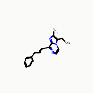 Cc1nc2c(/C=C/Cc3ccccc3)nccn2c1CC#N